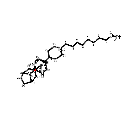 CCOCCCCCCCCN1CCC(c2cnc(N3C4CCC3CN(C(C)C)C4)nc2)CC1